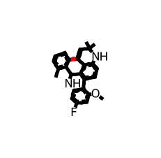 COc1cc(F)ccc1-c1ccc2c(c1C(N)c1c(C)cccc1C)C(C)=CC(C)(C)N2